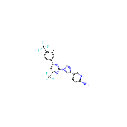 Cc1cc(-c2cc(C(F)(F)F)nc(-n3cnc(-c4ccc(N)nc4)c3)n2)ccc1C(F)(F)F